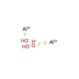 [Al+3].[Al+3].[F-].[F-].[F-].[OH-].[OH-].[OH-]